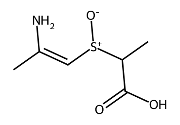 CC(N)=C[S+]([O-])C(C)C(=O)O